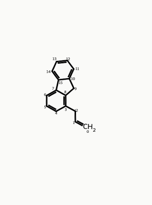 C=C[CH]c1cccc2c1Cc1ccccc1-2